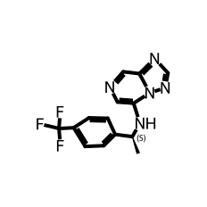 C[C@H](Nc1cncc2ncnn12)c1ccc(C(F)(F)F)cc1